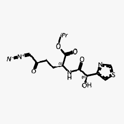 CC(C)OC(=O)[C@H](CCC(=O)C=[N+]=[N-])NC(=O)[C@H](O)c1cscn1